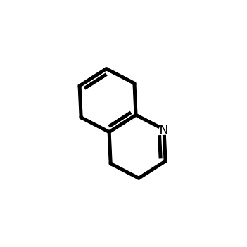 C1=CCC2=C(C1)CCC=N2